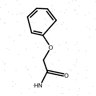 [NH]C(=O)COc1ccccc1